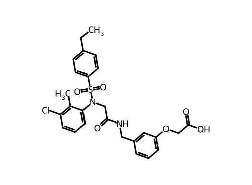 CCc1ccc(S(=O)(=O)N(CC(=O)NCc2cccc(OCC(=O)O)c2)c2cccc(Cl)c2C)cc1